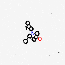 CC1(C)C2=C(CCC=C2)c2ccc(N(c3ccc(C4=CCCC=C4)cc3)c3cccc4c3-c3ccccc3C4=O)cc21